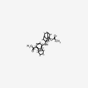 CC(=O)OC12CC3CC(CC(Nc4cnc(C(C)=O)c5c4C4CCC5C4)(C3)C1)C2